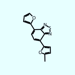 Cc1ccc(-c2ccc(-c3ccco3)c3nsnc23)o1